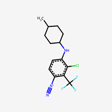 CC1CCC(Nc2ccc([N+]#N)c(C(F)(F)F)c2Cl)CC1